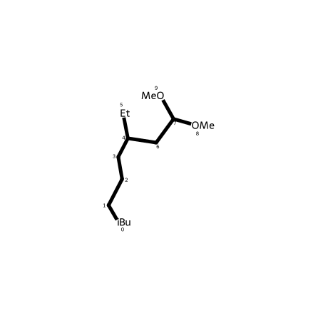 CCC(C)CCCC(CC)CC(OC)OC